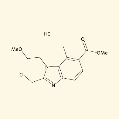 COCCn1c(CCl)nc2ccc(C(=O)OC)c(C)c21.Cl